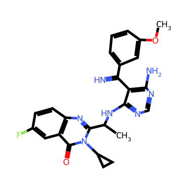 COc1cccc(C(=N)c2c(N)ncnc2NC(C)c2nc3ccc(F)cc3c(=O)n2C2CC2)c1